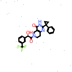 O=C([C@H](O)c1cccc(C(F)(F)F)c1)N1CCc2nc(C3(c4ccccc4)CC3)[nH]c(=O)c2C1